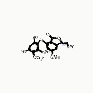 CCC/C=C1/OC(=O)c2c(Oc3c(N=O)cc(O)c(C(=O)O)c3CCCCC)cc(OC)cc21